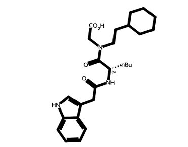 CCCC[C@H](NC(=O)Cc1c[nH]c2ccccc12)C(=O)N(CCC1CCCCC1)CC(=O)O